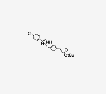 CC(C)(C)OC(=O)/C=C/c1ccc(Cc2nc(-c3ccc(Cl)cc3)c[nH]2)cc1